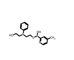 Cc1ccnc(B(O)OCCN(CCO)c2ccccc2)c1